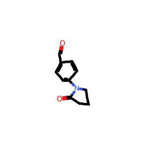 O=Cc1ccc(N2CCCC2=O)cc1